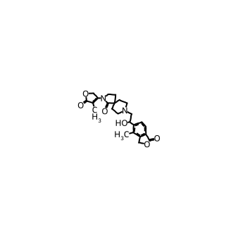 CC1=C(N2CCC3(CCN(CC(O)c4ccc5c(c4C)COC5=O)CC3)C2=O)COC1=O